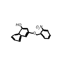 O=[N+]([O-])c1ccccc1COc1cc(O)c2ccccc2c1